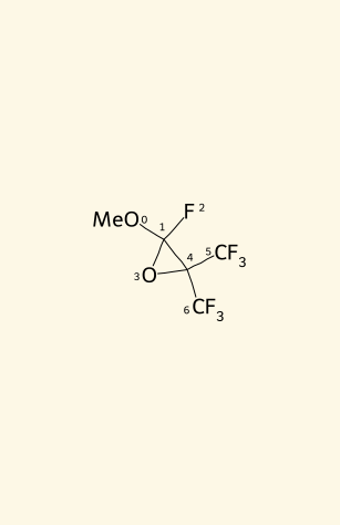 COC1(F)OC1(C(F)(F)F)C(F)(F)F